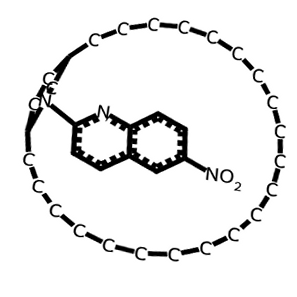 O=[N+]([O-])c1ccc2nc(N3CC4CCCCCCCCCCCCCCCCCCCCCC3CC4)ccc2c1